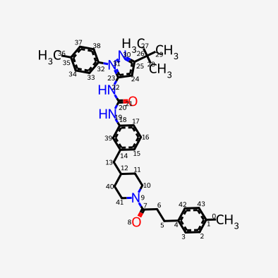 Cc1ccc(CCC(=O)N2CCC(Cc3cccc(NC(=O)Nc4cc(C(C)(C)C)nn4-c4ccc(C)cc4)c3)CC2)cc1